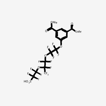 COC(=O)c1cc(OC(F)(F)C(F)(F)OC(F)(F)C(F)(OC(F)(F)C(F)(F)S(=O)(=O)O)C(F)(F)F)cc(C(=O)OC)c1